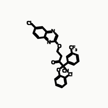 N#CC(Oc1ccccc1Cl)(C(=O)CCOc1cnc2cc(Cl)ccc2n1)c1cccc(C(F)(F)F)c1